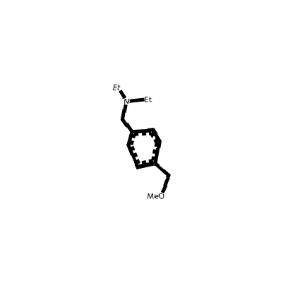 CCN(CC)Cc1ccc(COC)cc1